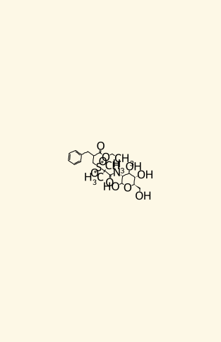 CCOC(=O)C(Cc1ccccc1)CS(=O)(=O)C(C)(C)C(=O)N[C@H]1C(O)O[C@H](CO)[C@@H](O)[C@@H]1O